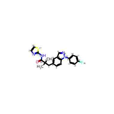 CC(C)(Cc1ccc2c(cnn2-c2ccc(F)cc2)c1)C(=O)Nc1nccs1